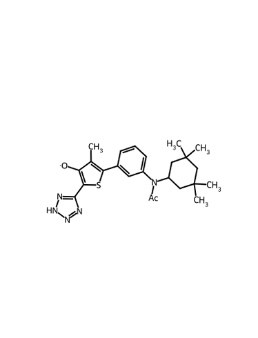 CC(=O)N(c1cccc(-c2sc(-c3nn[nH]n3)c([O])c2C)c1)C1CC(C)(C)CC(C)(C)C1